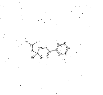 CCC1(CC(F)F)C=CC(c2ccccc2)=CC1